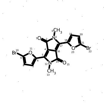 CN1C(=O)C2=C(c3ccc(Br)o3)N(C)C(=O)C2=C1c1ccc(Br)o1